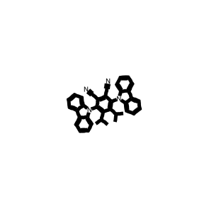 CC(C)c1c(C(C)C)c(-n2c3ccccc3c3ccccc32)c(C#N)c(C#N)c1-n1c2ccccc2c2ccccc21